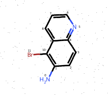 Nc1ccc2ncccc2c1Br